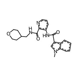 Cn1cc(C(=O)Nc2cccnc2C(=O)NCC2CCOCC2)c2ccccc21